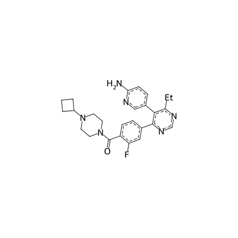 CCc1ncnc(-c2ccc(C(=O)N3CCN(C4CCC4)CC3)c(F)c2)c1-c1ccc(N)nc1